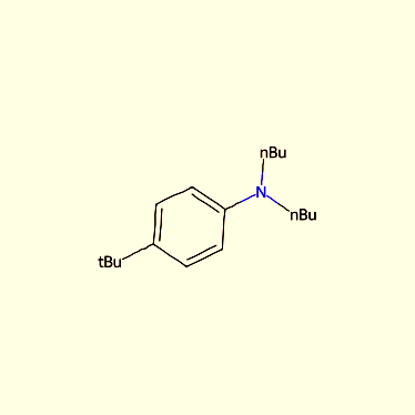 CCCCN(CCCC)c1ccc(C(C)(C)C)cc1